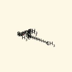 CCCCCCCCCCCCCCCCCCN(C)C(=O)OCC(C)(COCc1ccc(CN2C=CSC2)cc1)OC